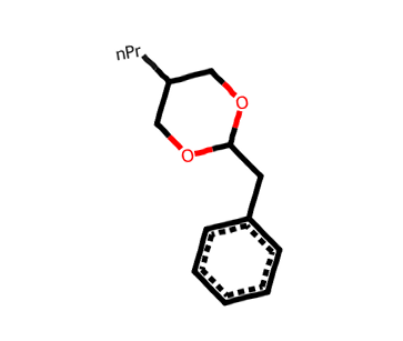 C[CH]CC1COC(Cc2ccccc2)OC1